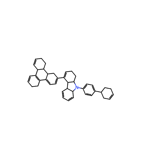 C1=CC2C3C(C4=CC=C5C6=C(C=CCC6)C6C=CCCC6C5C4)=CCCC3N(c3ccc(C4CC=CCC4)cc3)C2C=C1